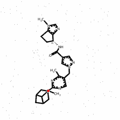 COC1C2CC1CN(c1ncc(Cn3cc(C(=O)N[C@@H]4CCc5c4ncn5C)cn3)c(C)n1)C2